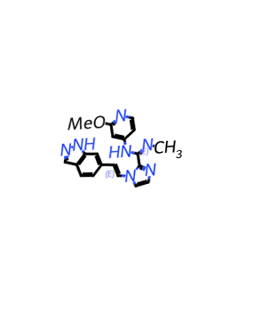 C/N=C(/Nc1ccnc(OC)c1)c1nccn1/C=C/c1ccc2cn[nH]c2c1